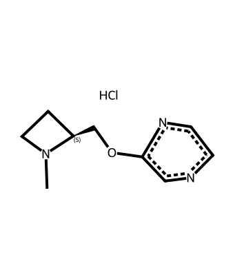 CN1CC[C@H]1COc1cnccn1.Cl